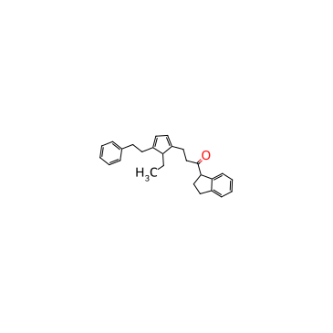 CCC1C(CCC(=O)C2CCc3ccccc32)=CC=C1CCc1ccccc1